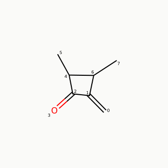 C=C1C(=O)C(C)C1C